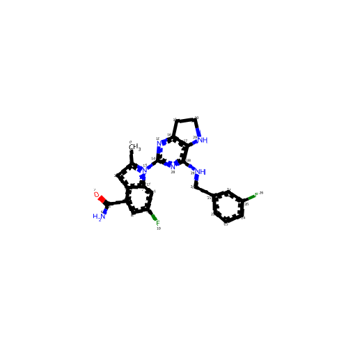 Cc1cc2c(C(N)=O)cc(F)cc2n1-c1nc2c(c(NCc3cccc(F)c3)n1)NCC2